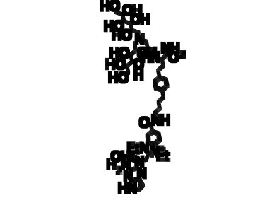 CCn1c(CN(C=O)c2nc3cc[nH]c3nc2N)[n+](CC)c2ccc(C(=O)NCCCCc3ccc(CCC(NCCCN(C[C@H](O)[C@@H](O)[C@H](O)[C@H](O)CO)C[C@H](O)[C@@H](O)[C@H](O)[C@H](O)CO)C(N)=O)cc3)cc21